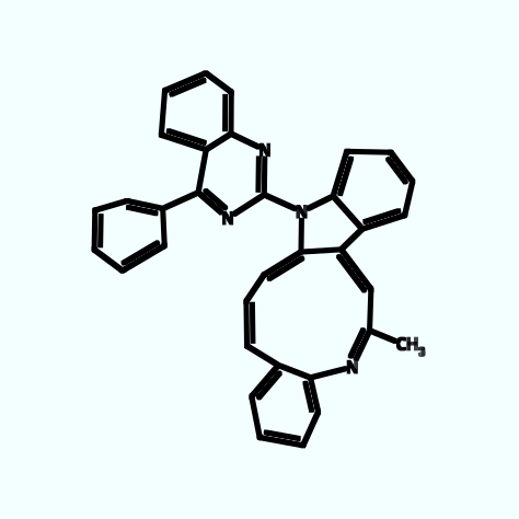 Cc1cc2c3ccccc3n(-c3nc(-c4ccccc4)c4ccccc4n3)c2cccc2ccccc2n1